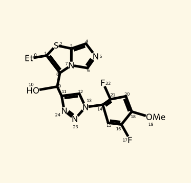 CCc1sc2cncn2c1C(O)c1cn(-c2cc(F)c(OC)cc2F)nn1